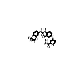 CNC(=O)c1cc(Oc2ccc(NC(=O)Nc3ccc4c(c3)OC(F)(F)C(F)(F)O4)c(Cl)c2)ccn1